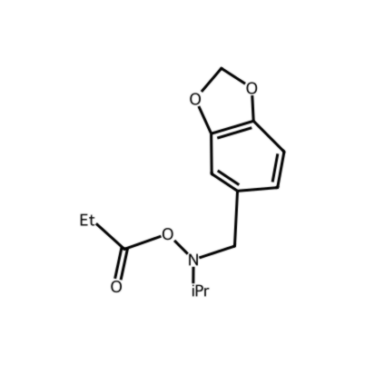 CCC(=O)ON(Cc1ccc2c(c1)OCO2)C(C)C